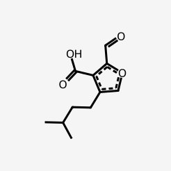 CC(C)CCc1coc(C=O)c1C(=O)O